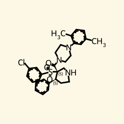 Cc1ccc(C)c(N2CCN(C(=O)[C@@]3(S(=O)(=O)c4cccc(Cl)c4)CNCC[C@H]3c3ccccc3)CC2)c1